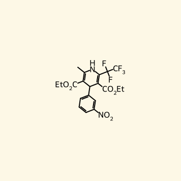 CCOC(=O)C1=C(C)NC(C(F)(F)C(F)(F)F)=C(C(=O)OCC)C1c1cccc([N+](=O)[O-])c1